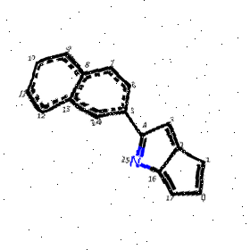 C1=CC2=CC(c3ccc4ccccc4c3)=NC2=C1